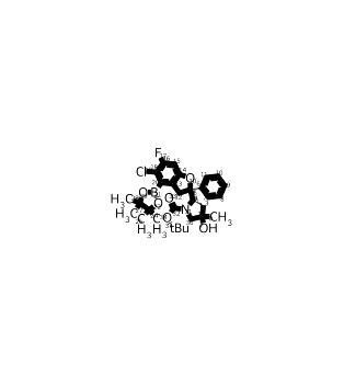 CC1(O)C[C@@H]([C@@]2(c3ccccc3)Cc3c(cc(F)c(Cl)c3B3OC(C)(C)C(C)(C)O3)O2)N(C(=O)OC(C)(C)C)C1